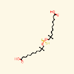 CC(C)(CCCCCCCCC(=O)O)COP(=S)(S)OCC(C)(C)CCCCCCCCC(=O)O